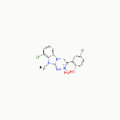 Cn1c(=N)n(C/C(=N/O)c2cc(Cl)ccc2O)c2cccc(Cl)c21